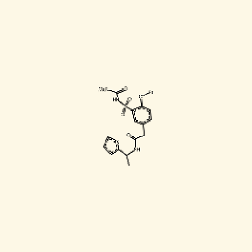 CCOc1ccc(CC(=O)NC(C)c2cccs2)cc1S(=O)(=O)NC(=O)NC